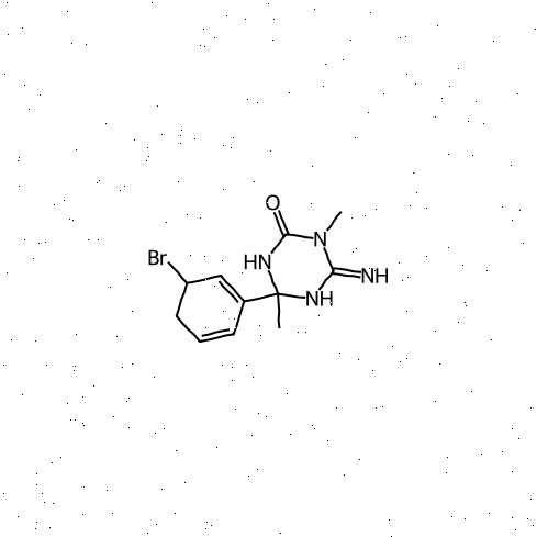 CN1C(=N)NC(C)(C2=CC(Br)CC=C2)NC1=O